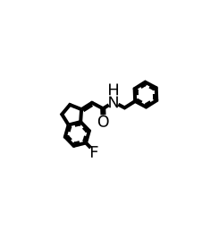 O=C(/C=C1/CCc2ccc(F)cc21)NCc1ccccc1